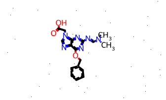 CN(C)/C=N/c1nc(OCc2ccccc2)c2ncn(CC(=O)O)c2n1